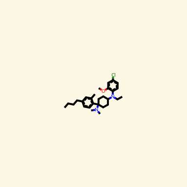 CCCCc1ccc(C2(N(C)C)CCC(N(CC)c3ccc(Cl)cc3OC)CC2)c(C)c1